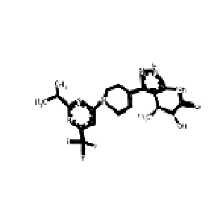 CC(C)c1nc(N2CCC(c3n[nH]c4c3[C@H](C)[C@H](O)C(=O)N4)CC2)cc(C(F)(F)F)n1